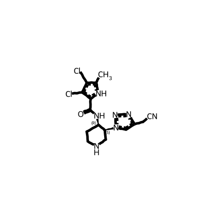 Cc1[nH]c(C(=O)N[C@@H]2CCNC[C@@H]2n2cc(CC#N)nn2)c(Cl)c1Cl